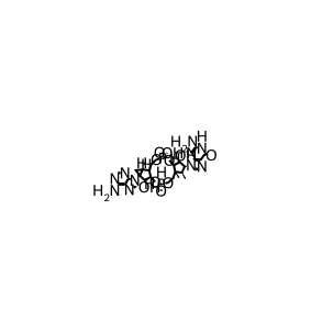 C[C@@H]1[C@@H](n2cnc3c(=O)[nH]c(N)nc32)[C@H](O)[C@@H]2OP(=O)(O)OC[C@@H]3[C@@H](O[PH](=O)OC[C@@]12C)[C@@H](O)[C@@]1(n2cnc4c(N)ncnc42)C[C@@H]31